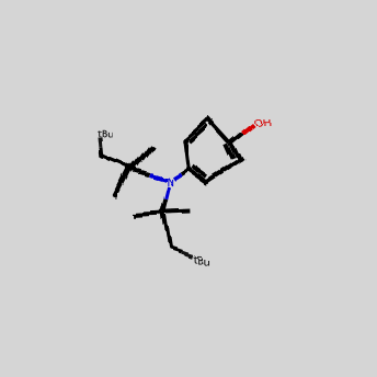 CC(C)(C)CC(C)(C)N(c1ccc(O)cc1)C(C)(C)CC(C)(C)C